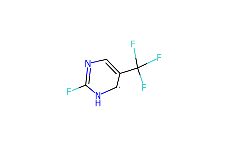 FC1=NC=C(C(F)(F)F)[CH]N1